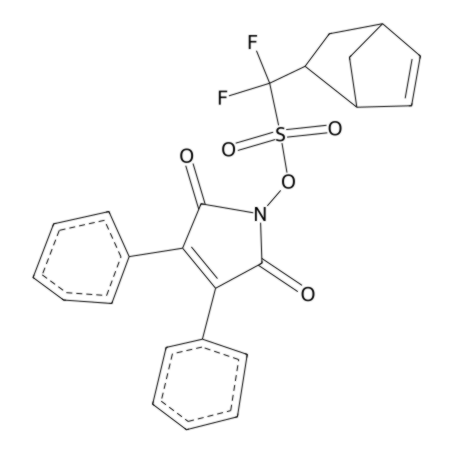 O=C1C(c2ccccc2)=C(c2ccccc2)C(=O)N1OS(=O)(=O)C(F)(F)C1CC2C=CC1C2